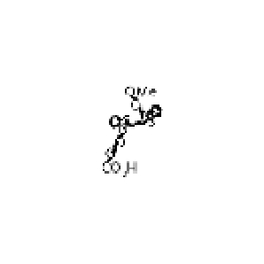 COCCOCC[n+]1c(/C=C/C=C2\Sc3ccccc3N2CCOCCOCCC(=O)O)sc2ccccc21